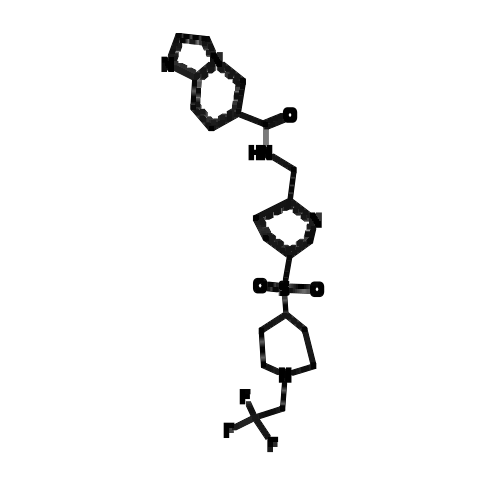 O=C(NCc1ccc(S(=O)(=O)C2CCN(CC(F)(F)F)CC2)cn1)c1ccc2nccn2c1